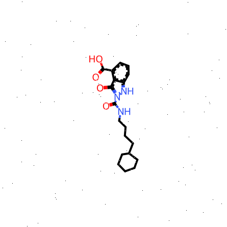 O=C(O)c1cccc2[nH]n(C(=O)NCCCCC3CCCCC3)c(=O)c12